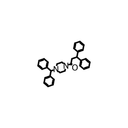 O=C(CC(c1ccccc1)c1ccccc1)N1CCN(C(c2ccccc2)c2ccccc2)CC1